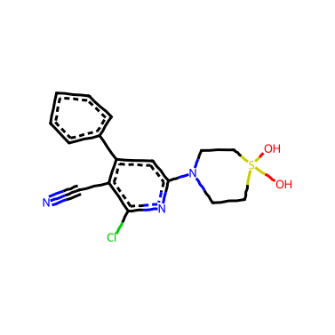 N#Cc1c(-c2ccccc2)cc(N2CCS(O)(O)CC2)nc1Cl